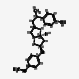 COc1ccc(O[C@H]2CC3CN(CC(C)c4ccc(O)cn4)C[C@H]3C2)cc1